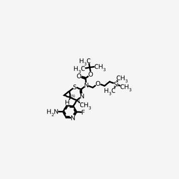 CC(C)(C)OC(=O)N(COCC[Si](C)(C)C)C1=N[C@](C)(c2cc(N)cnc2F)[C@@H]2CC2S1